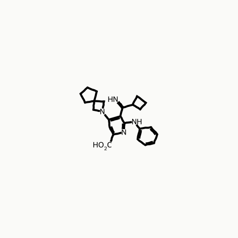 N=C(c1c(N2CC3(CCCC3)C2)cc(C(=O)O)nc1Nc1ccccc1)C1CCC1